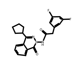 O=C(Cc1cc(F)cc(F)c1)Nn1nc(C2CCCC2)c2ccccc2c1=O